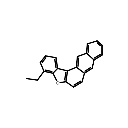 CCc1cccc2c1oc1ccc3cc4ccccc4cc3c12